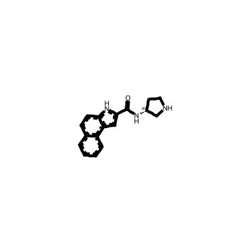 O=C(N[C@@H]1CCNC1)c1cc2c(ccc3ccccc32)[nH]1